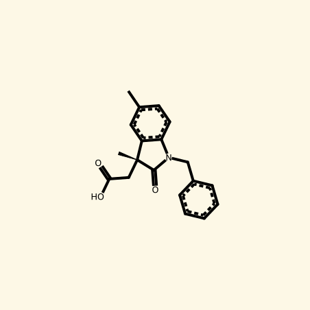 Cc1ccc2c(c1)[C@@](C)(CC(=O)O)C(=O)N2Cc1ccccc1